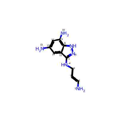 NC=CCNc1n[nH]c2c(N)cc(N)cc12